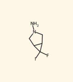 NN1CC2C(C1)C2(F)I